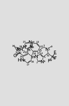 CN1CCc2c(ncn2C2(c3ccccc3)C=CNC(C(N)=O)=C2c2nncn2C2CC2)C1C(F)(F)F